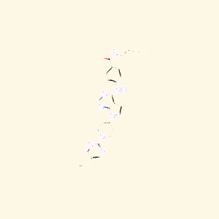 CN(CCO)C(=O)c1ccc(Nc2ncnc3c2c(F)cn3C2CCN(c3ncc(OC(F)F)cn3)CC2)c(F)c1